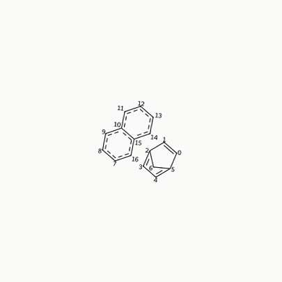 C1=CC2=CC=C1C2.c1ccc2ccccc2c1